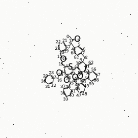 CC(=O)Cc1ccc(Cc2cc([C@@H]3S[C@H](COCc4ccccc4)[C@@H](OCc4ccccc4)[C@H](OCc4ccccc4)[C@H]3OCc3ccccc3)c(OCc3ccccc3)cc2C)cc1